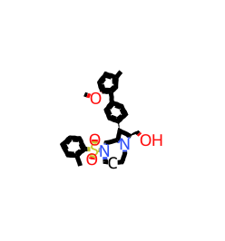 COc1ccc(C)cc1-c1ccc([C@H]2C3CN(S(=O)(=O)c4ccccc4C)CCCCN3[C@@H]2CO)cc1